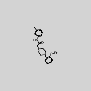 CCOc1ccccc1N1CCN(CC(=O)Nc2cccc(C)c2)CC1